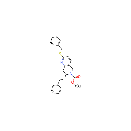 CC(C)(C)OC(=O)N1Cc2ccc(SCc3ccccc3)nc2CC1CCc1ccccc1